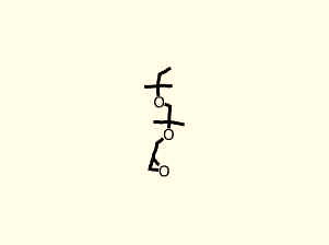 CCC(C)(C)OCC(C)(C)OCC1CO1